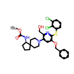 CC(C)(C)OC(=O)N[C@@H]1CCCC12CCN(c1cc(OCc3ccccc3)c(Sc3cccc(Cl)c3Cl)nc1CO)CC2